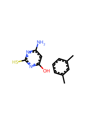 Cc1cccc(C)c1.Nc1cc(O)nc(S)n1